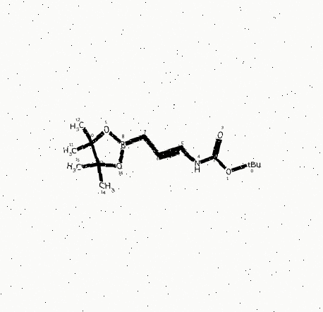 CC(C)(C)OC(=O)N/C=C/CB1OC(C)(C)C(C)(C)O1